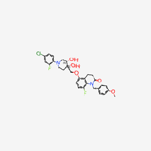 COc1ccc(CN2C(=O)CCc3c(OC[C@@]4(O)CCN(c5ccc(Cl)cc5F)C[C@@H]4O)ccc(F)c32)cc1